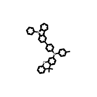 Cc1ccc(N(c2ccc(-c3ccc4c(c3)c3ccccc3n4-c3ccccc3)cc2)c2ccc3c(c2)Oc2ccccc2C3(C)C)cc1